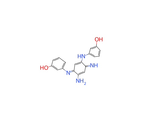 N=C1C=C(N)C(=Nc2cccc(O)c2)C=C1Nc1cccc(O)c1